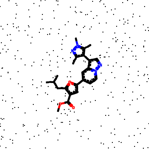 COC(=O)c1cc(-c2ccn3ncc(-c4c(C)nn(C)c4C)c3c2)oc1CC(C)C